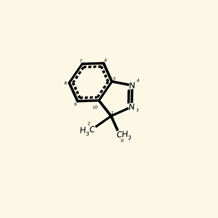 CC1(C)N=Nc2ccccc21